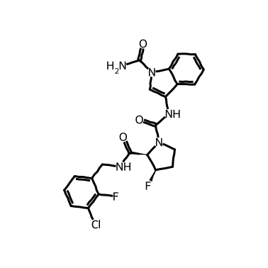 NC(=O)n1cc(NC(=O)N2CC[C@@H](F)[C@H]2C(=O)NCc2cccc(Cl)c2F)c2ccccc21